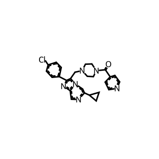 O=C(c1ccncc1)N1CCN(Cc2c(-c3ccc(Cl)cc3)nc3cnc(C4CC4)cn23)CC1